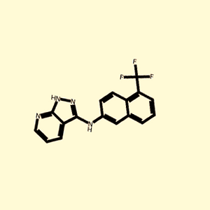 FC(F)(F)c1cccc2cc(Nc3n[nH]c4ncccc34)ccc12